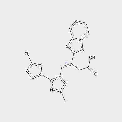 Cn1cc(/C=C(\CC(=O)O)c2nc3ccccc3s2)c(-c2ccc(Cl)s2)n1